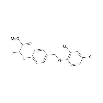 COC(=O)C(C)Oc1ccc(COc2ccc(Cl)cc2Cl)cc1